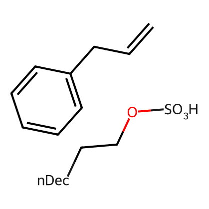 C=CCc1ccccc1.CCCCCCCCCCCCOS(=O)(=O)O